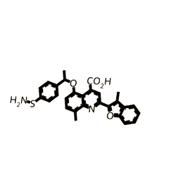 Cc1c(-c2cc(C(=O)O)c3c(OC(C)c4ccc(SN)cc4)ccc(C)c3n2)oc2ccccc12